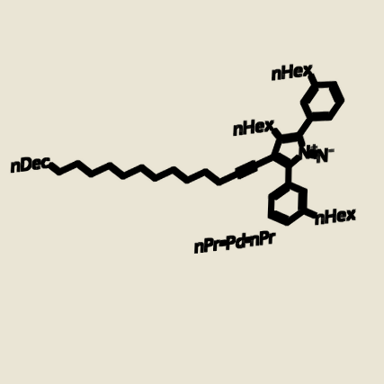 CCCCCCCCCCCCCCCCCCCCCC#CC1=C(c2cccc(CCCCCC)c2)[N+](=[N-])C(c2cccc(CCCCCC)c2)=C1CCCCCC.CC[CH2][Pd][CH2]CC